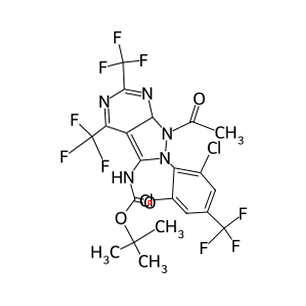 CC(=O)N1C2N=C(C(F)(F)F)N=C(C(F)(F)F)C2=C(NC(=O)OC(C)(C)C)N1c1c(Cl)cc(C(F)(F)F)cc1Cl